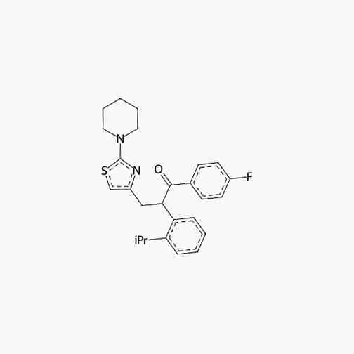 CC(C)c1ccccc1C(Cc1csc(N2CCCCC2)n1)C(=O)c1ccc(F)cc1